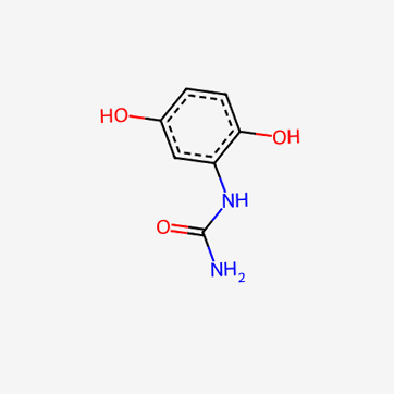 NC(=O)Nc1cc(O)ccc1O